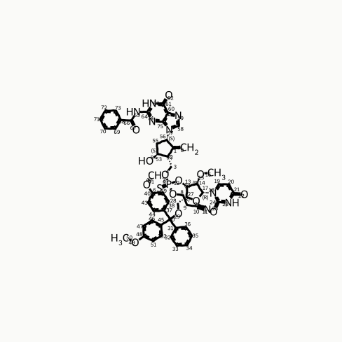 C=C1[C@H](COP(=S)(OCCC#N)O[C@H]2[C@@H](OC)[C@H](n3ccc(=O)[nH]c3=O)O[C@@H]2COC(c2ccccc2)(c2ccc(OC)cc2)c2ccc(OC)cc2)[C@@H](O)C[C@@H]1n1cnc2c(=O)[nH]c(NC(=O)c3ccccc3)nc21